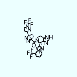 O=C(c1nnc(-c2ccn(C(F)(F)F)n2)o1)N1CCc2[nH]cnc2[C@H]1c1cc2c(C(F)(F)F)cccn2n1